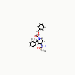 CC1(c2ccccc2)CC(N[S@+]([O-])C(C)(C)C)CCN1C(=O)OCc1ccccc1